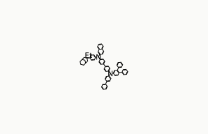 CCC1(c2ccc(N(c3ccc(-c4ccc(N(c5ccc(-c6ccccc6)cc5)c5ccc(-c6ccccc6)c(-c6ccccc6)c5)cc4)cc3)c3ccc4ccccc4c3)cc2)CC2CCCC(C2)C1